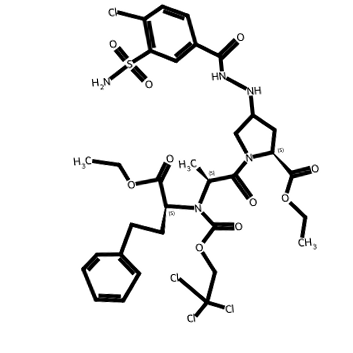 CCOC(=O)[C@@H]1CC(NNC(=O)c2ccc(Cl)c(S(N)(=O)=O)c2)CN1C(=O)[C@H](C)N(C(=O)OCC(Cl)(Cl)Cl)[C@@H](CCc1ccccc1)C(=O)OCC